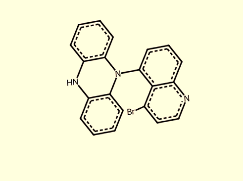 Brc1ccnc2cccc(N3c4ccccc4Nc4ccccc43)c12